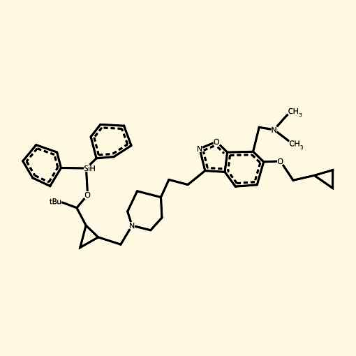 CN(C)Cc1c(OCC2CC2)ccc2c(CCC3CCN(CC4CC4C(O[SiH](c4ccccc4)c4ccccc4)C(C)(C)C)CC3)noc12